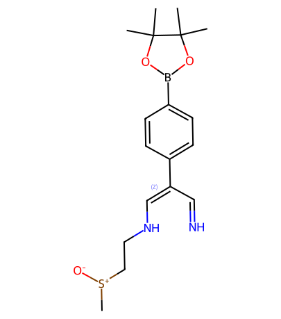 C[S+]([O-])CCN/C=C(\C=N)c1ccc(B2OC(C)(C)C(C)(C)O2)cc1